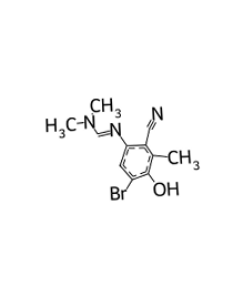 Cc1c(O)c(Br)cc(N=CN(C)C)c1C#N